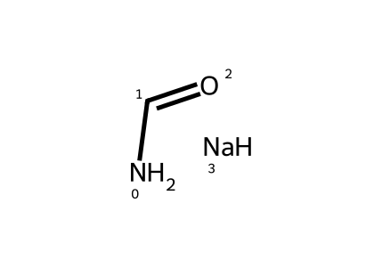 NC=O.[NaH]